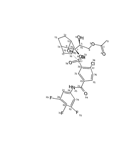 CC(=O)OC[C@H](O)[C@@H](O)[C@]1(O)C2CCC1C[C@@H](S(=O)(=O)c1cc(C(=O)Nc3cc(F)c(F)c(F)c3)ccc1Cl)C2